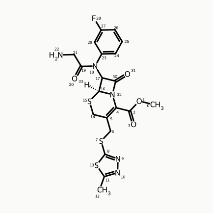 COC(=O)C1=C(CSc2nnc(C)s2)CS[C@H]2C(N(C(=O)CN)c3cccc(F)c3)C(=O)N12